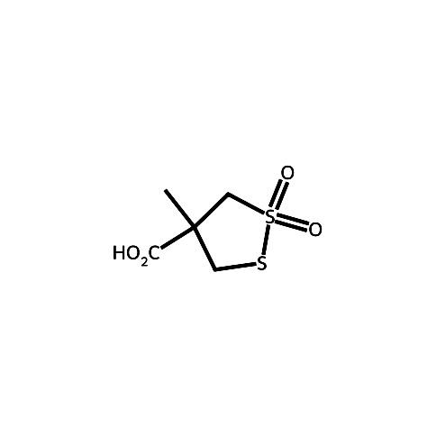 CC1(C(=O)O)CSS(=O)(=O)C1